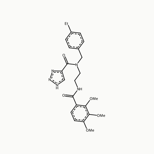 CCc1ccc(CN(CCNC(=O)c2ccc(OC)c(OC)c2OC)C(=O)c2c[nH]nn2)cc1